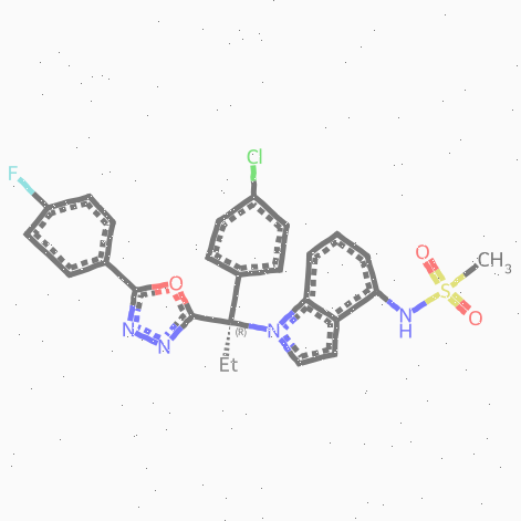 CC[C@@](c1ccc(Cl)cc1)(c1nnc(-c2ccc(F)cc2)o1)n1ccc2c(NS(C)(=O)=O)cccc21